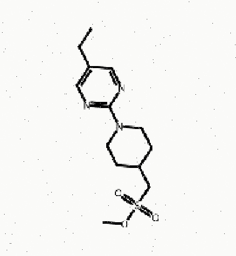 CCc1cnc(N2CCC(CS(=O)(=O)OC)CC2)nc1